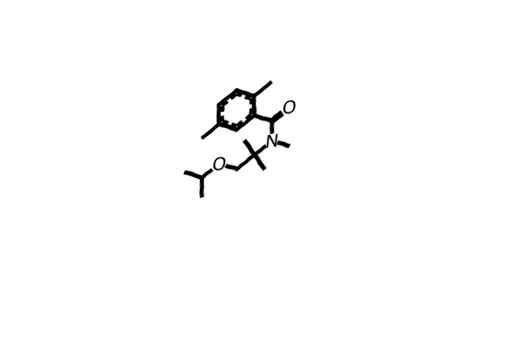 Cc1ccc(C)c(C(=O)N(C)C(C)(C)COC(C)C)c1